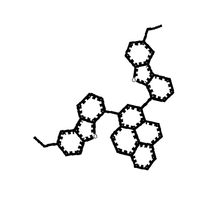 CCc1ccc2oc3c(-c4cc(-c5cccc6c5oc5ccc(CC)cc56)c5ccc6cccc7ccc4c5c76)cccc3c2c1